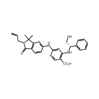 C=CCN1C(=O)c2ccc(Nc3ncc(C(=O)O)c(N[C@H](CO)c4ccccc4)n3)nc2C1(C)C